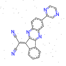 N#CC(C#N)=C1c2ccccc2-c2nc3cc(-c4cnccn4)ccc3nc21